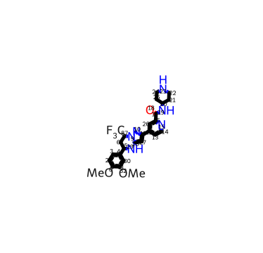 COc1ccc(C2CC(C(F)(F)F)n3nc(-c4ccnc(C(=O)NC5CCNCC5)c4)cc3N2)cc1OC